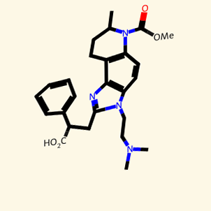 COC(=O)N1c2ccc3c(nc(CC(C(=O)O)c4ccccc4)n3CCN(C)C)c2CCC1C